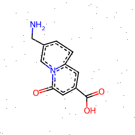 NCc1ccc2cc(C(=O)O)cc(=O)n2c1